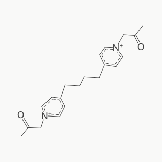 CC(=O)C[n+]1ccc(CCCCc2cc[n+](CC(C)=O)cc2)cc1